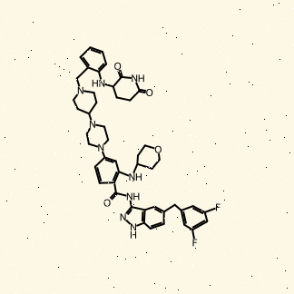 O=C1CCC(Nc2ccccc2CN2CCC(N3CCN(c4ccc(C(=O)Nc5n[nH]c6ccc(Cc7cc(F)cc(F)c7)cc56)c(NC5CCOCC5)c4)CC3)CC2)C(=O)N1